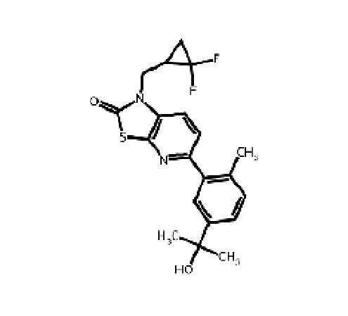 Cc1ccc(C(C)(C)O)cc1-c1ccc2c(n1)sc(=O)n2CC1CC1(F)F